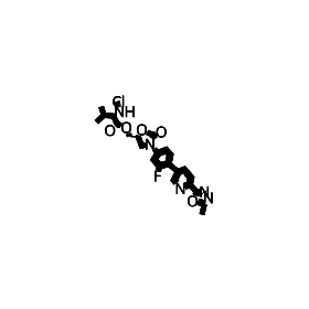 Cc1nnc(-c2ccc(-c3ccc(N4C[C@H](COC(=O)[C@@H](NCl)C(C)C)OC4=O)cc3F)cn2)o1